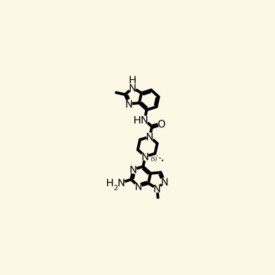 Cc1nc2c(NC(=O)N3CCN(c4nc(N)nc5c4cnn5C)[C@@H](C)C3)cccc2[nH]1